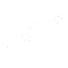 O=C1Nc2ncc(/C=C/C(=O)N3CC4C=C(c5ccccc5)CC4C3)cc2C(=O)N2CCNCC12